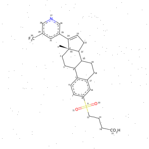 C[C@]12CCC3c4ccc(S(=O)(=O)CCCC(=O)O)cc4CCC3C1CC=C2c1cncc(C(F)(F)F)c1